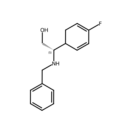 OC[C@@H](NCc1ccccc1)C1C=CC(F)=CC1